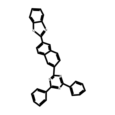 c1ccc(-c2nc(-c3ccccc3)nc(-c3ccc4cc(-c5nc6ccccc6o5)ccc4c3)n2)cc1